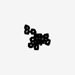 CC1(C)c2ccccc2-c2cccc(-c3ccc(N(c4cccc(-c5cccc6ccccc56)c4)c4ccc5c(c4)C(c4ccccc4)(c4ccccc4)c4ccccc4-5)cc3)c21